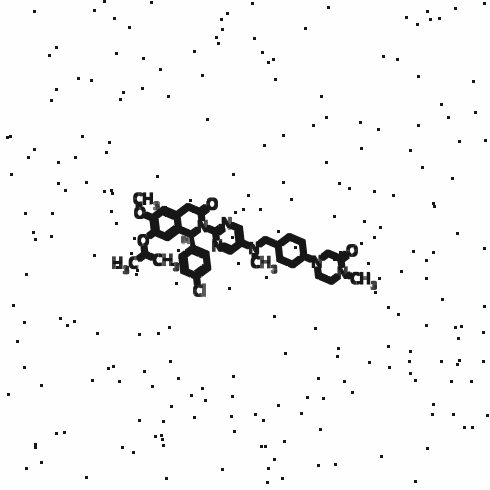 COc1cc2c(cc1OC(C)C)[C@H](c1ccc(Cl)cc1)N(c1ncc(N(C)CC3CCC(N4CCN(C)C(=O)C4)CC3)cn1)C(=O)C2